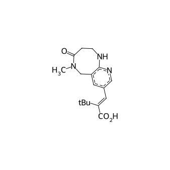 CN1Cc2cc(C=C(C(=O)O)C(C)(C)C)cnc2NCCC1=O